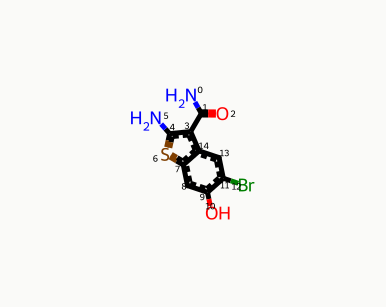 NC(=O)c1c(N)sc2cc(O)c(Br)cc12